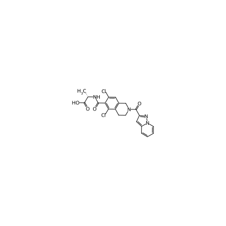 C[C@H](NC(=O)c1c(Cl)cc2c(c1Cl)CCN(C(=O)c1cc3ccccn3n1)C2)C(=O)O